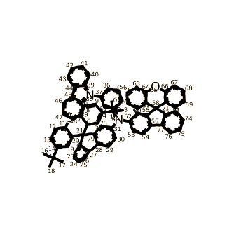 CC(C)(C)C1=CC2C(C=C1)Sc1ccc(C(C)(C)C)cc1C21c2ccccc2-c2ccc(N(c3cccc(-n4c5ccccc5c5ccccc54)c3)c3ccc4c(c3)C3(c5ccccc5Oc5ccccc53)c3ccccc3-4)cc21